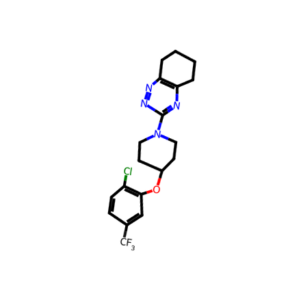 FC(F)(F)c1ccc(Cl)c(OC2CCN(c3nnc4c(n3)CCCC4)CC2)c1